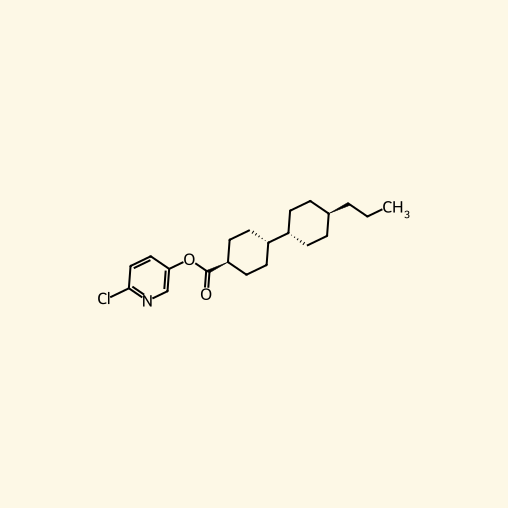 CCC[C@H]1CC[C@H]([C@H]2CC[C@H](C(=O)Oc3ccc(Cl)nc3)CC2)CC1